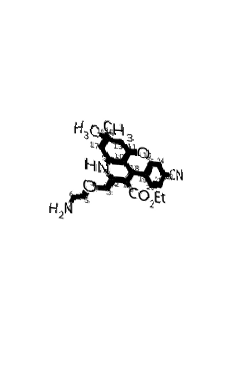 CCOC(=O)C1=C(COCCN)NC2=C(C(=O)CC(C)(C)C2)C1c1ccc(C#N)cc1